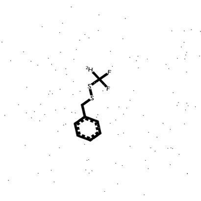 [2H]C(F)(F)SSCc1ccccc1